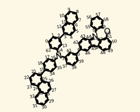 c1cc(-c2ccc3ccccc3c2)cc(N(c2ccc(-c3cccc4c3ccc3ccccc34)cc2)c2cccc(-c3ccc4c(c3)c3cccc5c3n4-c3ccccc3O5)c2)c1